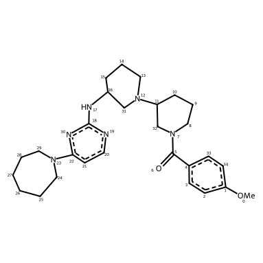 COc1ccc(C(=O)N2CCCC(N3CCCC(Nc4nccc(N5CCCCCC5)n4)C3)C2)cc1